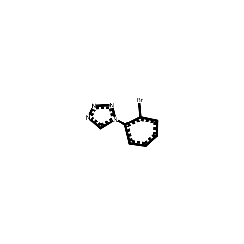 Brc1ccccc1-n1cnnn1